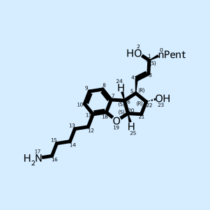 CCCCC[C@H](O)C=C[C@@H]1[C@H]2c3cccc(CCCCCN)c3O[C@H]2C[C@H]1O